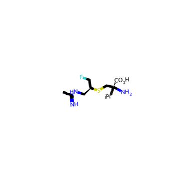 CC(=N)NC[C@@H](CF)SC[C@](N)(C(=O)O)C(C)C